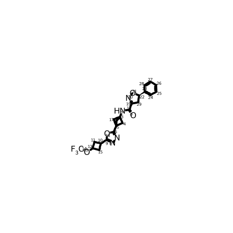 O=C(NC12CC(c3nnc(C4CC(OC(F)(F)F)C4)o3)(C1)C2)C1=NO[C@@H](c2ccccc2)C1